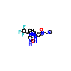 C[C@@H](Cc1cc(F)cc(F)c1F)Nc1cc[nH]c(=O)c1-c1nc2cc3c(cc2[nH]1)CN(CCN1CCCC1)C3=O